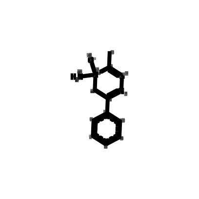 CC1=NN=C(c2ccccc2)C[N+]1(N)[O-]